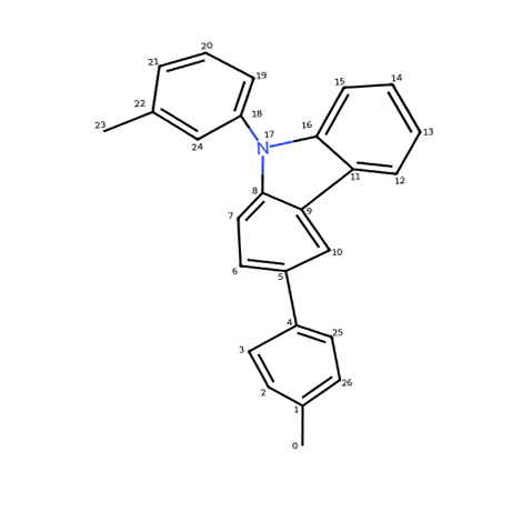 Cc1ccc(-c2ccc3c(c2)c2ccccc2n3-c2cccc(C)c2)cc1